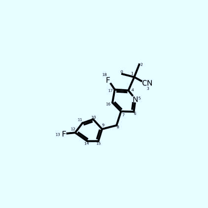 CC(C)(C#N)c1ncc(Cc2ccc(F)cc2)cc1F